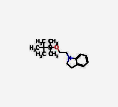 CC(C)(C)[Si](C)(C)OCCN1CCc2ccccc21